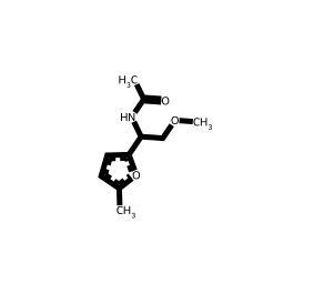 COCC(NC(C)=O)c1ccc(C)o1